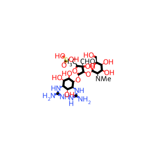 CN[C@@H]1[C@H](O[C@H]2[C@H](O[C@H]3[C@H](O)[C@@H](O)[C@H](NC(=N)N)[C@@H](O)[C@@H]3NC(=N)N)O[C@@H](C)[C@]2(O)C=O)O[C@@H](CO)[C@H](O)[C@H]1O.O=S(O)O